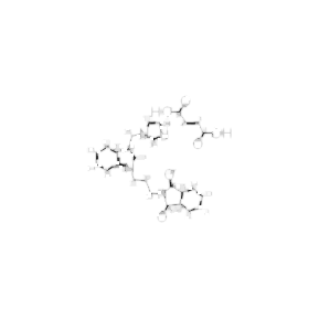 O=C(O)C=CC(=O)O.O=C1c2ccccc2C(=O)N1CCCn1cc(Cn2ccnc2)c2ccccc21